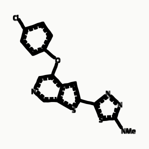 CNc1nnc(-c2cc3c(Oc4ccc(Cl)cc4)cncc3s2)s1